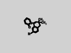 CC1(C)C=C(n2ccccc2=O)c2cc(Br)ccc2C1